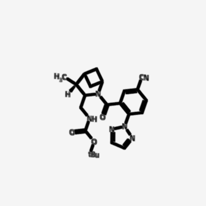 C[C@@H]1C2CC(C2)N(C(=O)c2cc(C#N)ccc2-n2nccn2)C1CNC(=O)OC(C)(C)C